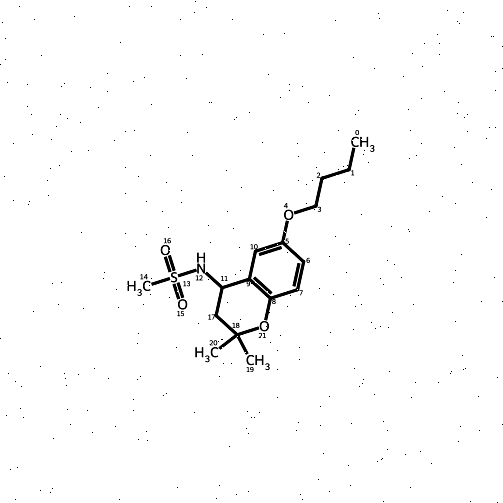 CCCCOc1ccc2c(c1)C(NS(C)(=O)=O)CC(C)(C)O2